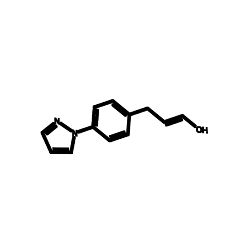 O/C=C/Cc1ccc(-n2cccn2)cc1